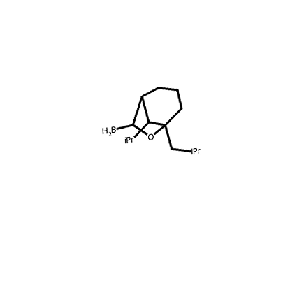 BC1OC2(CC(C)C)CCCC1C2C(C)C